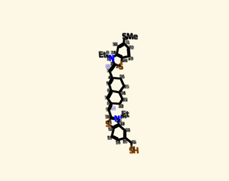 CCN1/C(=C/C2=CC3=C/C(=C/c4sc5ccc(CS)cc5[n+]4CC)CCC3CC2)Sc2ccc(SC)cc21